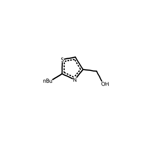 CCCCc1nc(CO)cs1